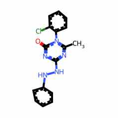 Cc1nc(NNc2ccccc2)nc(=O)n1-c1ccccc1Cl